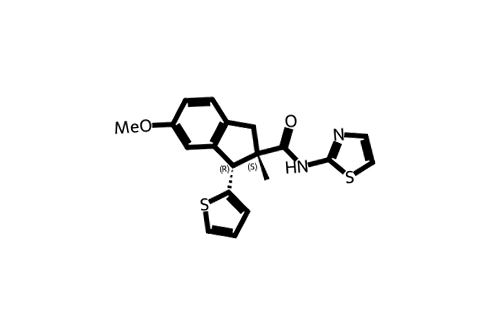 COc1ccc2c(c1)[C@@H](c1cccs1)[C@@](C)(C(=O)Nc1nccs1)C2